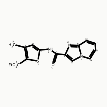 CCOC(=O)c1sc(NC(=O)c2cn3ccccc3n2)cc1C